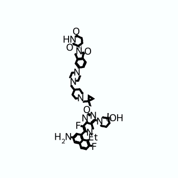 CCc1c(F)ccc2cc(N)cc(-c3ncc4c(N5CCC[C@@](C)(O)C5)nc(OCC5(CN6CCC(CN7CCN(c8ccc9c(c8)CN([C@H]8CCC(=O)NC8=O)C9=O)CC7)CC6)CC5)nc4c3F)c12